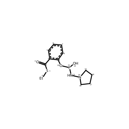 CCSC(=O)c1ccccc1OP(O)NN1CCCC1